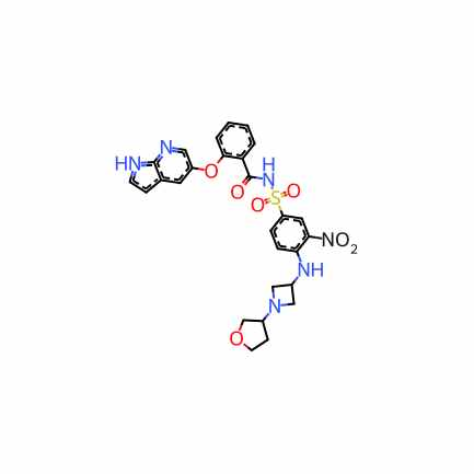 O=C(NS(=O)(=O)c1ccc(NC2CN(C3CCOC3)C2)c([N+](=O)[O-])c1)c1ccccc1Oc1cnc2[nH]ccc2c1